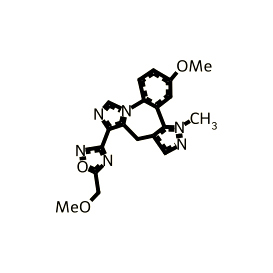 COCc1nc(-c2ncn3c2Cc2cnn(C)c2-c2cc(OC)ccc2-3)no1